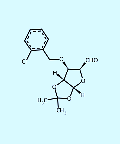 CC1(C)O[C@H]2O[C@H](C=O)[C@H](OCc3ccccc3Cl)[C@H]2O1